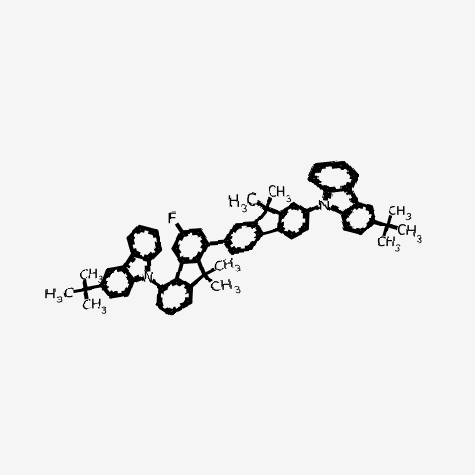 CC(C)(C)c1ccc2c(c1)c1ccccc1n2-c1ccc2c(c1)C(C)(C)c1cc(-c3cc(F)cc4c3C(C)(C)c3cccc(-n5c6ccccc6c6cc(C(C)(C)C)ccc65)c3-4)ccc1-2